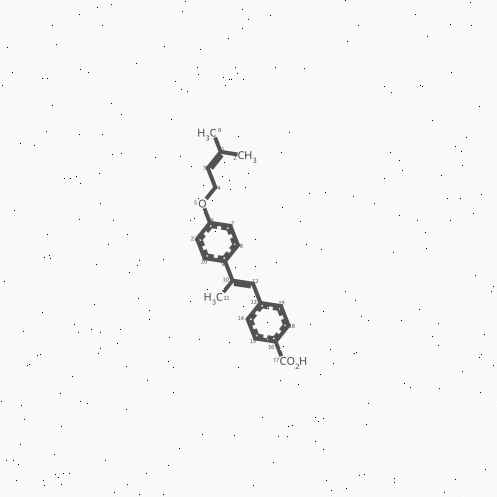 CC(C)=CCOc1ccc(C(C)=Cc2ccc(C(=O)O)cc2)cc1